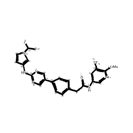 COc1ncc(NC(=O)Cc2ccc(-c3cnc(Nc4ccn(C(F)F)c4)nc3)cc2)cc1C(F)(F)F